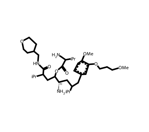 COCCCOc1cc(CC(C[C@H](N)C(CC(C(=O)NCC2CCOCC2)C(C)C)OC(=O)C(N)C(C)C)C(C)C)ccc1OC